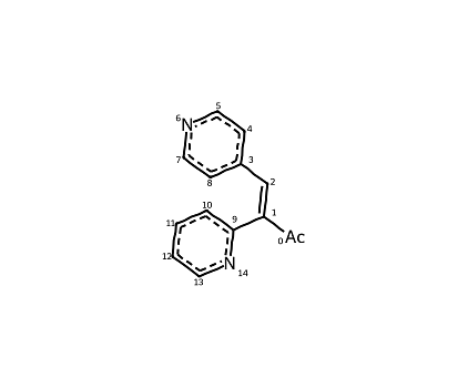 CC(=O)/C(=C/c1ccncc1)c1ccccn1